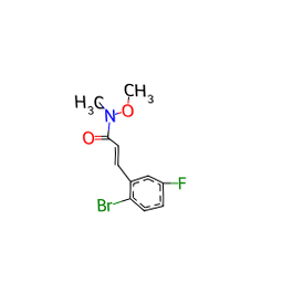 CON(C)C(=O)C=Cc1cc(F)ccc1Br